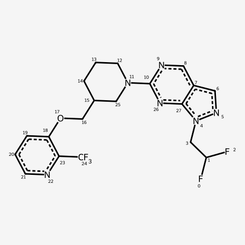 FC(F)Cn1ncc2cnc(N3CCCC(COc4cccnc4C(F)(F)F)C3)nc21